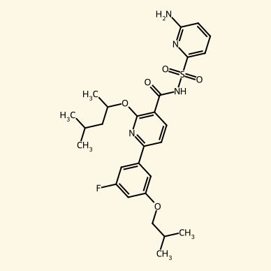 CC(C)COc1cc(F)cc(-c2ccc(C(=O)NS(=O)(=O)c3cccc(N)n3)c(OC(C)CC(C)C)n2)c1